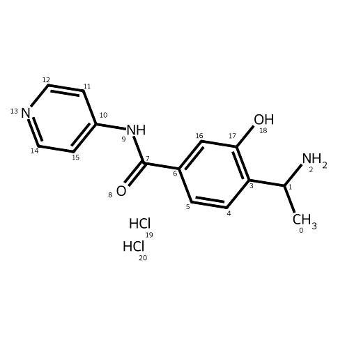 CC(N)c1ccc(C(=O)Nc2ccncc2)cc1O.Cl.Cl